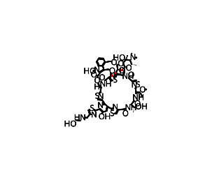 CO/C(C)=C1/NC(=O)[C@H]([C@@H](C)O)NC(=O)c2csc(n2)-c2cc(O)c(-c3nc(CNCCO)cs3)nc2-c2csc(n2)[C@@H]2COC(=O)c3c4c5c(cccc5n3O)COC(=O)[C@@H](O[C@H]3C[C@](C)(O)[C@H](N(C)C)[C@H](C)O3)[C@@H](OC4)[C@H](NC(=O)c3csc1n3)c1nc(cs1)C(=O)N2